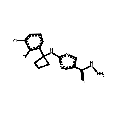 NNC(=O)c1cnc(NC2(c3cccc(Cl)c3Cl)CCC2)nc1